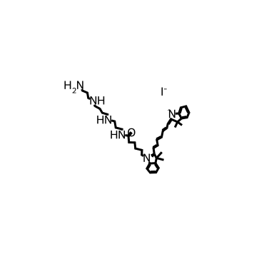 CN1/C(=C/C=C/C=C/C=C/C2=[N+](CCCCCC(=O)NCCCNCCCCNCCCN)c3ccccc3C2(C)C)C(C)(C)c2ccccc21.[I-]